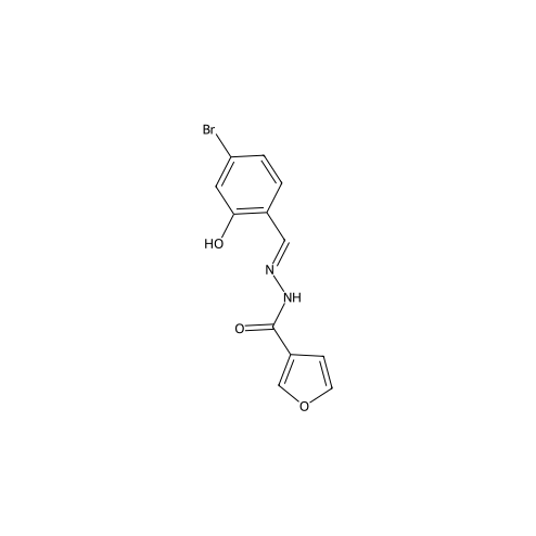 O=C(NN=Cc1ccc(Br)cc1O)c1ccoc1